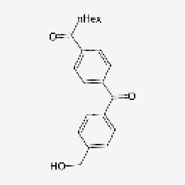 CCCCCCC(=O)c1ccc(C(=O)c2ccc(CO)cc2)cc1